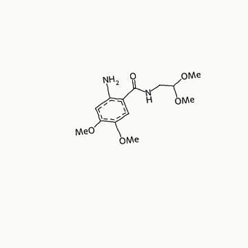 COc1cc(N)c(C(=O)NCC(OC)OC)cc1OC